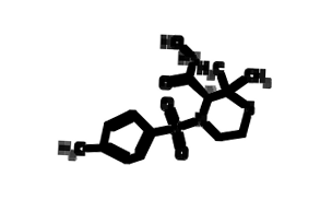 Cc1ccc(S(=O)(=O)N2CCSC(C)(C)[C@@H]2C(=O)NO)cc1